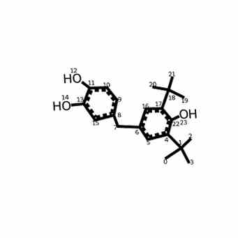 CC(C)(C)c1cc(Cc2ccc(O)c(O)c2)cc(C(C)(C)C)c1O